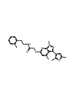 Cc1cc(-c2nn(C)c3nc(OCC(=O)NCCc4ccccc4C)cc(C)c23)c(C)o1